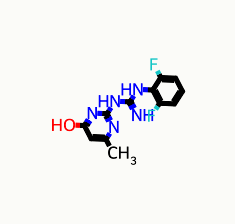 Cc1cc(O)nc(NC(=N)Nc2c(F)cccc2F)n1